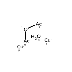 CC(=O)OC(C)=O.O.[Cu].[Cu]